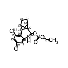 CCOC(=O)OC1Nc2cc(Cl)cc(Cl)c2C2C3CCC(C3)C12